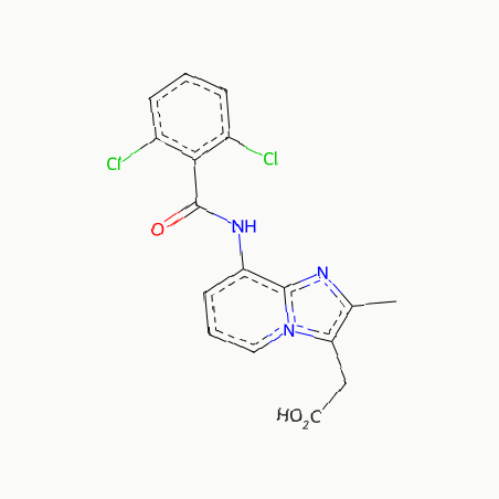 Cc1nc2c(NC(=O)c3c(Cl)cccc3Cl)cccn2c1CC(=O)O